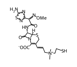 CO/N=C(\C(=O)N[C@@H]1C(=O)N2C(C(=O)[O-])=C(/C=C/C[N+](C)(C)CCS)CS[C@@H]12)c1nsc(N)n1